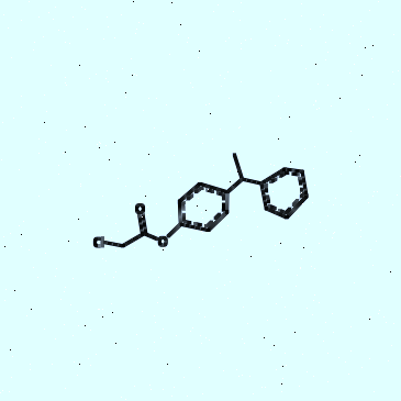 CC(c1ccccc1)c1ccc(OC(=O)CCl)cc1